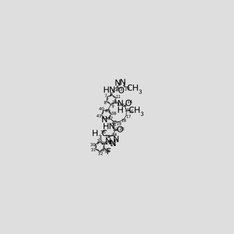 Cc1nnc(Nc2ccc3c(c2)NC(=O)[C@@H](C)CCC[C@H](NC(=O)c2nnn(-c4ccccc4F)c2C)c2cc-3ccn2)o1